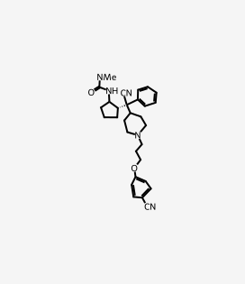 CNC(=O)NC1CCC[C@H]1C(C#N)(c1ccccc1)C1CCN(CCCOc2ccc(C#N)cc2)CC1